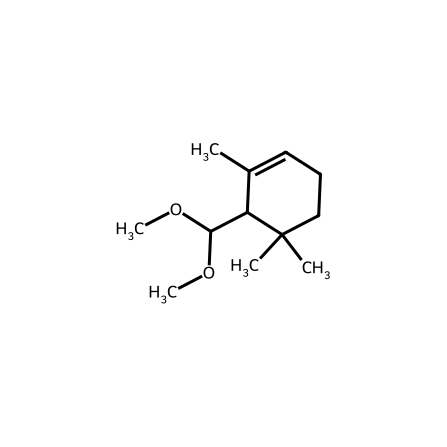 COC(OC)C1C(C)=CCCC1(C)C